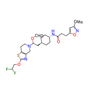 COc1cc(CCC(=O)N[C@H]2CC[C@H](CC(OC=O)N3CCc4sc(OCC(F)F)nc4C3)CC2)on1